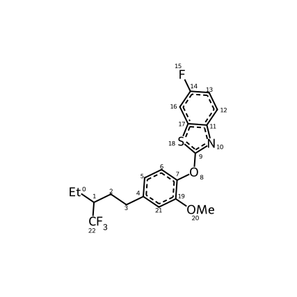 CCC(CCc1ccc(Oc2nc3ccc(F)cc3s2)c(OC)c1)C(F)(F)F